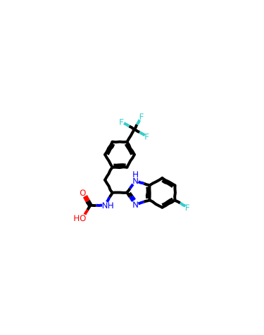 O=C(O)NC(Cc1ccc(C(F)(F)F)cc1)c1nc2cc(F)ccc2[nH]1